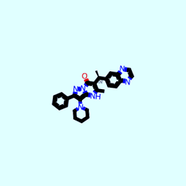 Cc1[nH]c2c(N3CCCCC3)c(-c3ccccc3)nn2c(=O)c1[C@@H](C)c1ccc2nccnc2c1